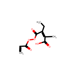 C=CC(=O)OOC(=O)/C(CC)=C(/C)C(=O)O